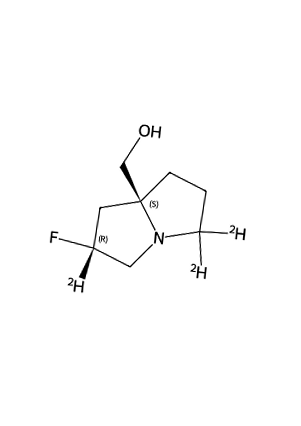 [2H]C1([2H])CC[C@@]2(CO)C[C@@]([2H])(F)CN12